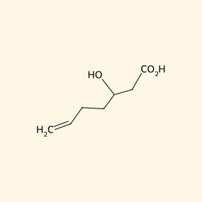 C=CCCC(O)CC(=O)O